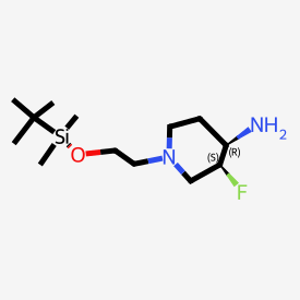 CC(C)(C)[Si](C)(C)OCCN1CC[C@@H](N)[C@@H](F)C1